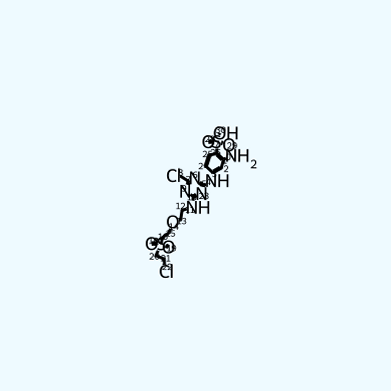 Nc1cc(Nc2nc(Cl)nc(NCCOCCS(=O)(=O)CCCl)n2)ccc1S(=O)(=O)O